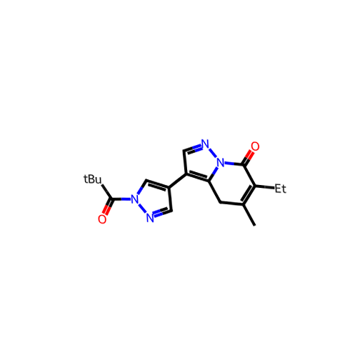 CCC1=C(C)Cc2c(-c3cnn(C(=O)C(C)(C)C)c3)cnn2C1=O